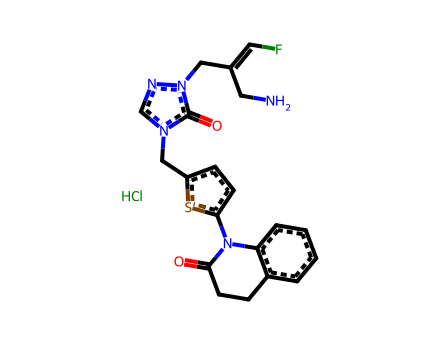 Cl.NC/C(=C\F)Cn1ncn(Cc2ccc(N3C(=O)CCc4ccccc43)s2)c1=O